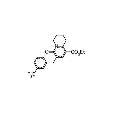 CCOC(=O)c1cc(Cc2cccc(C(F)(F)F)c2)c(=O)n2c1CCCC2